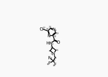 O=C(NC1CN(CC(F)(F)F)C1)c1cncc(Cl)n1